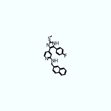 CSc1nc(-c2ccnc(NCc3ccc4ccccc4c3)c2)c(-c2ccc(F)cc2)[nH]1